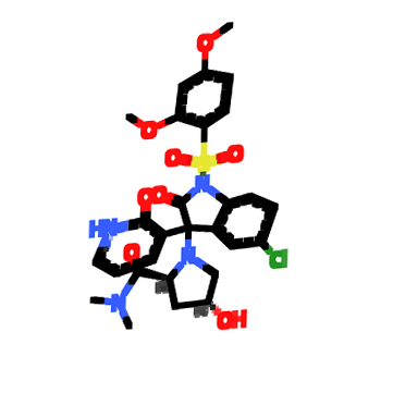 COc1ccc(S(=O)(=O)N2C(=O)C(c3ccc[nH]c3=O)(N3C[C@H](O)C[C@H]3C(=O)N(C)C)c3cc(Cl)ccc32)c(OC)c1